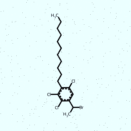 CCCCCCCCCCCc1c(Cl)cc(C(C)Br)c(Cl)c1Cl